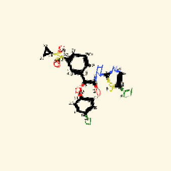 O=C(Nc1ncc(Cl)s1)C(Oc1ccc(Cl)cc1)c1cccc(S(=O)(=O)C2CC2)c1